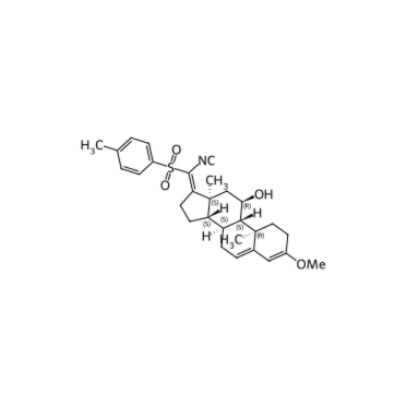 [C-]#[N+]C(=C1CC[C@H]2[C@@H]3CC=C4C=C(OC)CC[C@]4(C)[C@H]3[C@H](O)C[C@]12C)S(=O)(=O)c1ccc(C)cc1